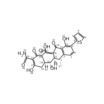 C[C@H]1c2ccc(-c3cccs3)c(O)c2C(=O)C2=C(O)[C@]3(O)C(=O)C(C(N)=O)=C(O)C[C@@H]3[C@@H](O)[C@@H]21